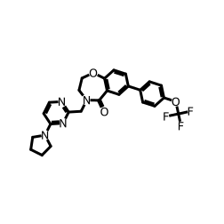 O=C1c2cc(-c3ccc(OC(F)(F)F)cc3)ccc2OCCN1Cc1nccc(N2CCCC2)n1